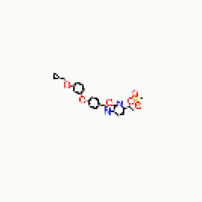 CC(OS(C)(=O)=O)c1ccc2nc(-c3ccc(Oc4cccc(OCC5CC5)c4)cc3)oc2n1